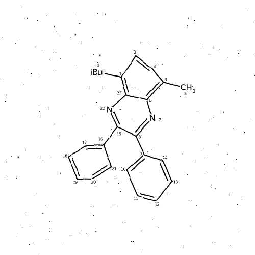 CCC(C)c1ccc(C)c2nc(-c3ccccc3)c(-c3ccccc3)nc12